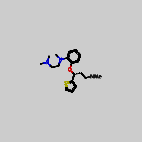 CNCC[C@@H](Oc1ccccc1N(C)CCN(C)C)c1cccs1